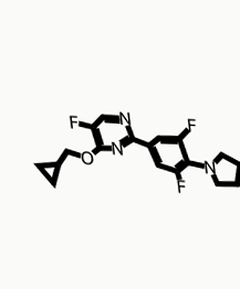 Fc1cnc(-c2cc(F)c(N3CCCC3)c(F)c2)nc1OCC1CC1